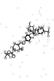 CC(C)CN(c1ccc(C(C)C)cn1)S(=O)(=O)c1ccc(OCC2CCN(C(=O)OC(C)(C)C)CC2F)cc1